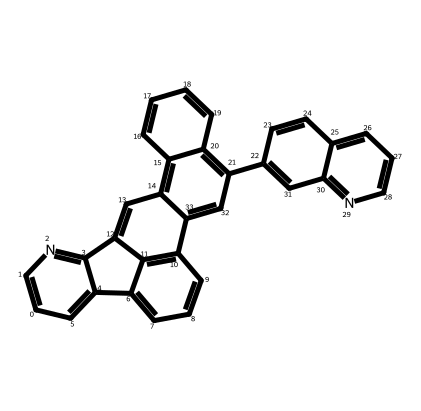 c1cnc2c(c1)-c1cccc3c1c-2cc1c2ccccc2c(-c2ccc4cccnc4c2)cc31